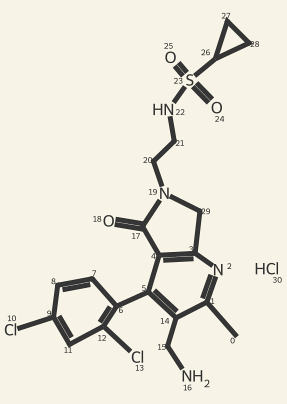 Cc1nc2c(c(-c3ccc(Cl)cc3Cl)c1CN)C(=O)N(CCNS(=O)(=O)C1CC1)C2.Cl